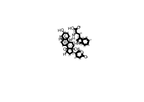 C[C@]12CC[C@H](O)C[C@H]1CC[C@@H]1[C@@H]2CC[C@]2(C)[C@@H](c3ccc(=O)oc3)C[C@H]3O[C@]132.N[C@@H](Cc1c[nH]c2ccccc12)C(=O)O